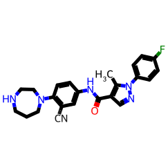 Cc1c(C(=O)Nc2ccc(N3CCCNCC3)c(C#N)c2)cnn1-c1ccc(F)cc1